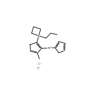 CCC[Si]1(C2=[C]([Ti+2][C]3=CC=CC3)C(C)=CC2)CCC1.[Cl-].[Cl-]